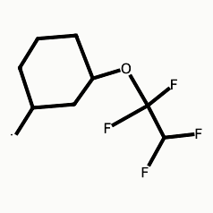 [CH2]C1CCCC(OC(F)(F)C(F)F)C1